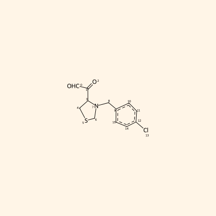 O=CC(=O)C1CSCN1Cc1ccc(Cl)cc1